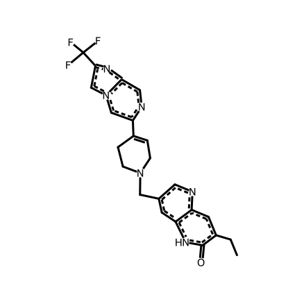 CCc1cc2ncc(CN3CC=C(c4cn5cc(C(F)(F)F)nc5cn4)CC3)cc2[nH]c1=O